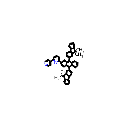 CC1(C)c2ccccc2-c2ccc(-c3c4ccccc4c(-c4ccc5c(c4)C(C)(C)c4ccccc4-5)c4cc(-c5cccc(-c6ccncc6)n5)ccc34)cc21